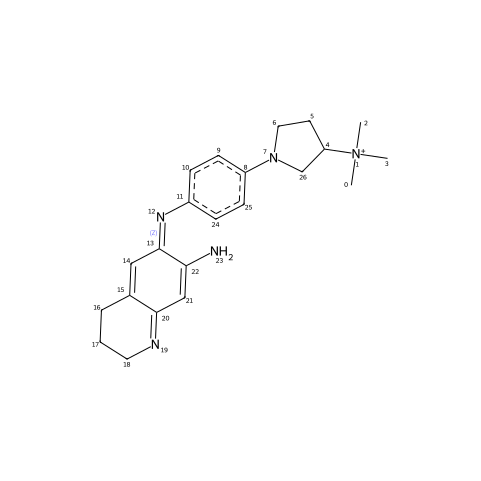 C[N+](C)(C)C1CCN(c2ccc(/N=C3/C=C4CCCN=C4C=C3N)cc2)C1